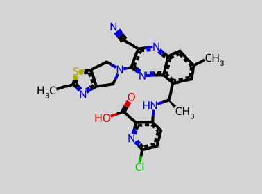 Cc1cc([C@@H](C)Nc2ccc(Cl)nc2C(=O)O)c2nc(N3Cc4nc(C)sc4C3)c(C#N)nc2c1